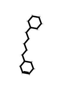 C1=CCC(CCCCCC2CCCCC2)CC1